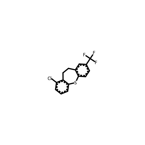 FC(F)(F)c1ccc2c(c1)CCc1c(Cl)cccc1S2